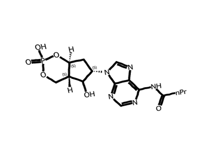 CCCC(=O)Nc1ncnc2c1ncn2[C@H]1C[C@@H]2OP(=O)(O)OC[C@H]2C1O